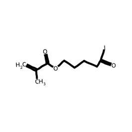 C=C(C)C(=O)OCCCCC(=O)I